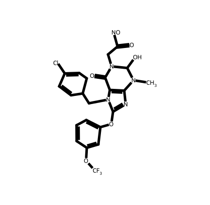 CN1c2nc(Oc3cccc(OC(F)(F)F)c3)n(CC3C=CC(Cl)=CC3)c2C(=O)N(CC(=O)N=O)C1O